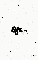 CC1CC=C(C(=O)Oc2cccc3cccc(C4(C)C=CC=CC4C(=O)O)c23)CC1